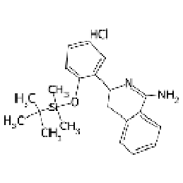 CC(C)(C)[Si](C)(C)Oc1ccccc1C1Cc2ccccc2C(N)=N1.Cl